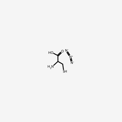 NC(CS)C(=O)O.[N-]=[N+]=[N-]